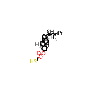 CC(C)CCC[C@@H](C)C1CC[C@H]2[C@@H]3CC=C4C[C@@H](OC(=O)OCCS)CC[C@]4(C)[C@H]3CC[C@]12C